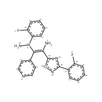 N/C(=C(/c1ccncc1)N(N)c1ccccc1F)c1nc(-c2ccccc2F)no1